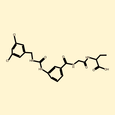 CCC(NC(=O)CNC(=O)c1cccc(NC(=O)NCc2cc(Cl)cc(Cl)c2)c1)C(=O)O